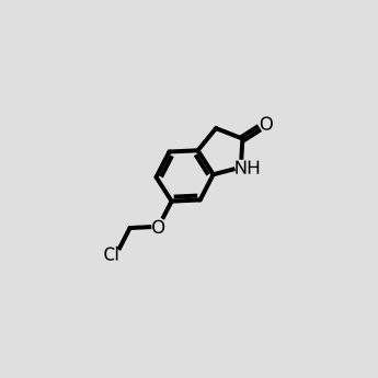 O=C1Cc2ccc(OCCl)cc2N1